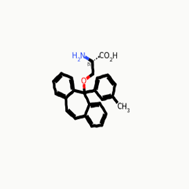 Cc1cccc(C2(OC[C@H](N)C(=O)O)c3ccccc3C=Cc3ccccc32)c1